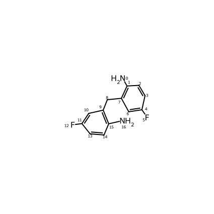 Nc1ccc(F)cc1Cc1cc(F)ccc1N